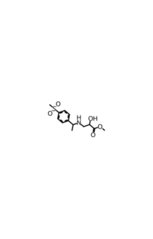 COC(=O)C(O)CNC(C)c1ccc(S(C)(=O)=O)cc1